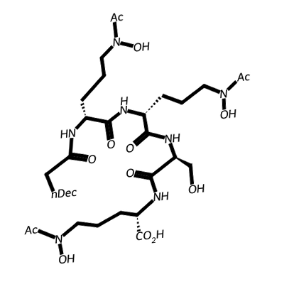 CCCCCCCCCCCC(=O)N[C@H](CCCN(O)C(C)=O)C(=O)N[C@H](CCCN(O)C(C)=O)C(=O)N[C@@H](CO)C(=O)N[C@@H](CCCN(O)C(C)=O)C(=O)O